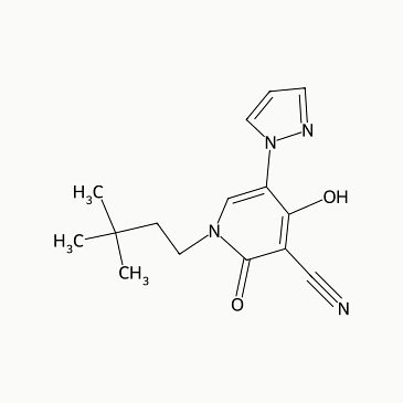 CC(C)(C)CCn1cc(-n2cccn2)c(O)c(C#N)c1=O